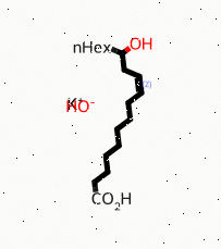 CCCCCCC(O)C/C=C\CCCCCCCC(=O)O.[K+].[OH-]